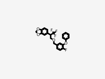 Fc1ccc(COCC(c2ccc3c(c2)OCO3)C(F)(F)F)cc1Oc1ccccc1